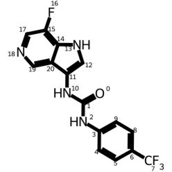 O=C(Nc1ccc(C(F)(F)F)cc1)Nc1c[nH]c2c(F)cncc12